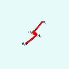 CCCCCCCCCCCCCCCCCCSC(C)CC1OCC2(CO1)COC(CC(C)SCCCCCCCCCCCCCCCCCC)OC2